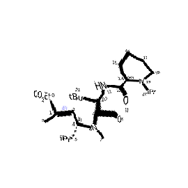 CCOC(=O)/C(C)=C/[C@@H](C(C)C)N(C)C(=O)C(NC(=O)[C@H]1CCCCN1C(C)C)C(C)(C)C